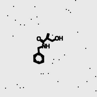 C=C(CO)C(=O)NCc1ccccc1